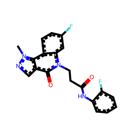 Cn1ncc2c(=O)n(CCC(=O)Nc3ccccc3F)c3cc(F)ccc3c21